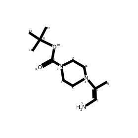 C/C(=C/N)N1CCN(C(=O)OC(C)(C)C)CC1